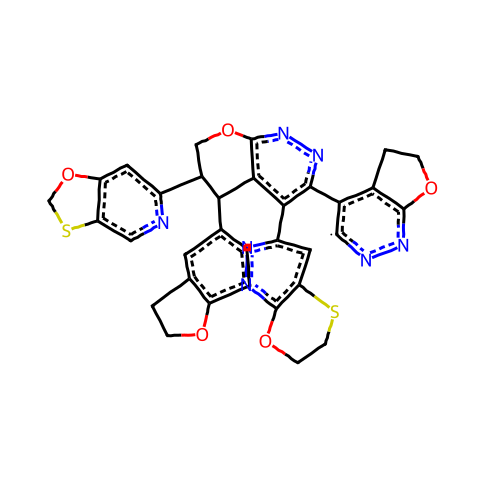 [c]1nnc2c(c1-c1nnc3c(c1-c1cc4c(nn1)OCCS4)C(c1ccc4c(c1)CCO4)C(c1cc4c(cn1)SCO4)CO3)CCO2